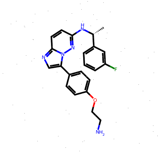 C[C@@H](Nc1ccc2ncc(-c3ccc(OCCN)cc3)n2n1)c1cccc(F)c1